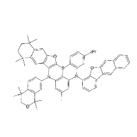 Cc1cc2c3c(c1)N(c1cccc4c1oc1cc5ccccc5cc14)c1cc(C(C)C)ccc1B3c1oc3cc4c(cc3c1N2c1ccc2c(c1)C(C)(C)OCC2(C)C)C(C)(C)CCC4(C)C